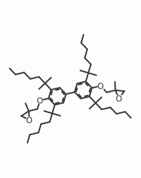 CCCCCC(C)(C)c1cc(-c2cc(C(C)(C)CCCCC)c(OCC3(C)CO3)c(C(C)(C)CCCCC)c2)cc(C(C)(C)CCCCC)c1OCC1(C)CO1